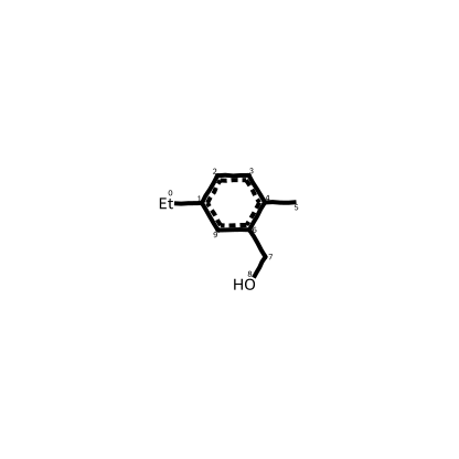 CCc1ccc(C)c(CO)c1